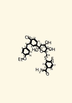 CCOc1ccc(Cc2cc([C@]3(O)C[C@@H](O)[C@@H](O)[C@@H](CSc4cc(C(N)=O)ccc4F)O3)ccc2Cl)cc1